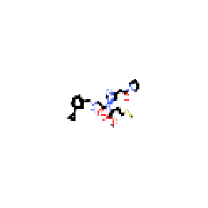 COC(=O)C(CCSC)N(C(=O)CNCc1cccc(C2CC2)c1)n1cnc(CC(=O)N2CCCC2)c1